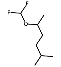 CC(C)CCC(C)OC(F)F